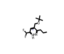 CCCC(=N)/C(=C\C(=N)C(F)F)COC(C)(C)C